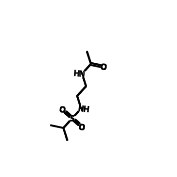 CC(=O)NCCNS(=O)(=O)C(C)C